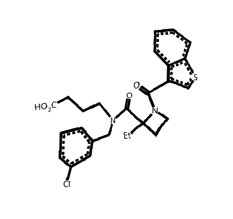 CCC1(C(=O)N(CCCC(=O)O)Cc2cccc(Cl)c2)CCN1C(=O)c1csc2ccccc12